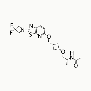 CC(=O)N[C@@H](C)CO[C@H]1C[C@H](COc2ccc3nc(N4CC(F)(F)C4)sc3n2)C1